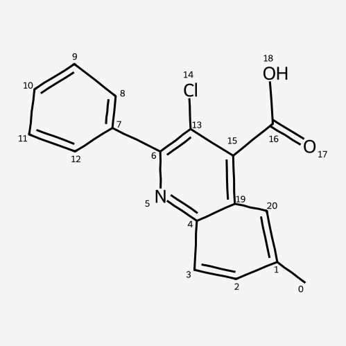 Cc1ccc2nc(-c3ccccc3)c(Cl)c(C(=O)O)c2c1